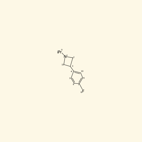 CC(C)N1CC(c2ccc(F)cc2)C1